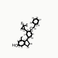 Cc1cc(O)cc2c1C(c1ccc(OCc3ccccc3)c(C3CC3(F)F)c1)CC2